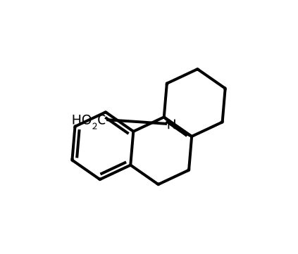 O=C(O)N1CCCC23CCCCC12c1ccccc1CC3